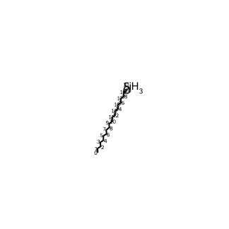 CCCCCCCCCCCCCCCCCCCCO[SiH3]